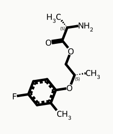 Cc1cc(F)ccc1O[C@@H](C)COC(=O)[C@H](C)N